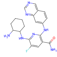 NC(=O)c1cc(F)c(NC2CCCCC2N)nc1Nc1ccc2cncnc2c1